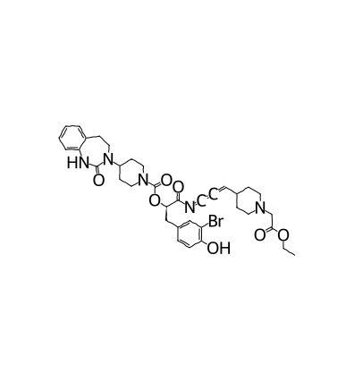 CCOC(=O)CN1CCC(C=C=C=NC(=O)[C@@H](Cc2ccc(O)c(Br)c2)OC(=O)N2CCC(N3CCc4ccccc4NC3=O)CC2)CC1